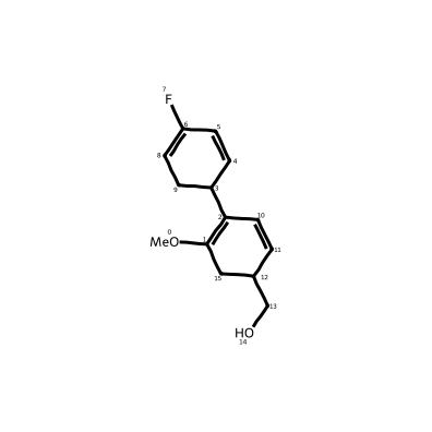 COC1=C(C2C=CC(F)=CC2)C=CC(CO)C1